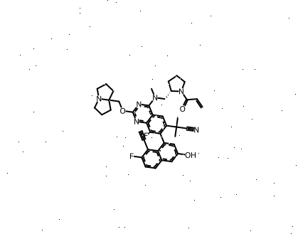 C#Cc1c(F)ccc2cc(O)cc(-c3c(C(C)(C)C#N)cc4c(N(C)C[C@@H]5CCCN5C(=O)C=C)nc(OCC56CCCN5CCC6)nc4c3F)c12